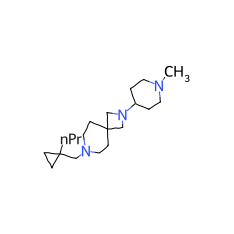 CCCC1(CN2CCC3(CC2)CN(C2CCN(C)CC2)C3)CC1